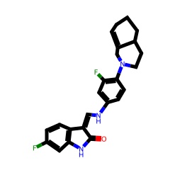 O=C1Nc2cc(F)ccc2C1=CNc1ccc(N2CCC3CCCC=C3C2)c(F)c1